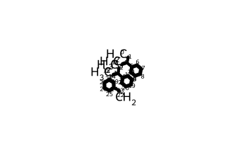 C=CC(=CC)c1ccccc1.C=CC(=CC)c1ccccc1.C=Cc1ccccc1